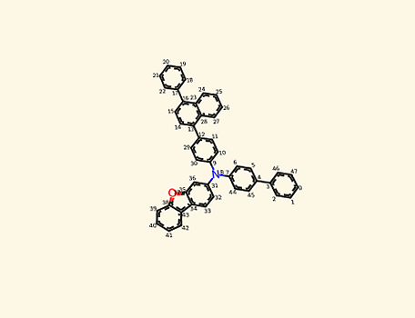 c1ccc(-c2ccc(N(c3ccc(-c4ccc(-c5ccccc5)c5ccccc45)cc3)c3ccc4c(c3)oc3ccccc34)cc2)cc1